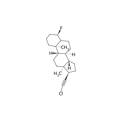 C[C@]12CC[C@H]3[C@@H](CCC4[C@H](F)CCC[C@@]43C)[C@@H]1CC[C@H]2C#CCl